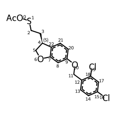 CC(=O)OSCC[C@@H]1COc2cc(OCc3ccc(Cl)cc3Cl)ccc21